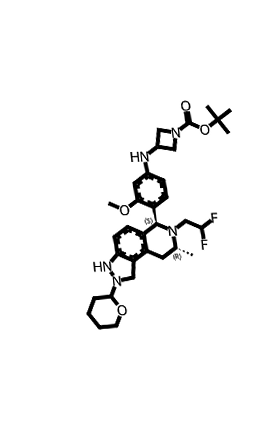 COc1cc(NC2CN(C(=O)OC(C)(C)C)C2)ccc1[C@@H]1c2ccc3c(c2C[C@@H](C)N1CC(F)F)CN(C1CCCCO1)N3